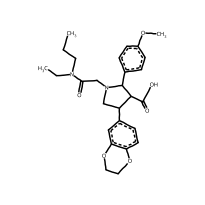 CCCN(CC)C(=O)CN1CC(c2ccc3c(c2)OCCO3)C(C(=O)O)C1c1ccc(OC)cc1